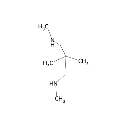 CNCC(C)(C)CNC